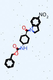 O=C(N[C@H]1CC[C@H](C(=O)N2CCc3cc([N+](=O)[O-])ccc32)CC1)OCc1ccccc1